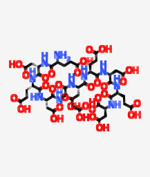 N[C@@H](CCC(=O)O)C(=O)N[C@@H](CC(=O)O)C(=O)N[C@@H](CCC(=O)O)C(=O)N[C@@H](CC(=O)O)C(=O)N[C@@H](CCC(=O)O)C(=O)N[C@@H](CC(=O)O)C(=O)N[C@@H](CCC(=O)O)C(=O)N[C@@H](CC(=O)O)C(=O)N[C@@H](CCC(=O)O)C(=O)N[C@@H](CC(=O)O)C(=O)O